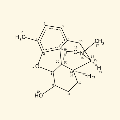 Cc1ccc2c3c1OC1C(O)CC[C@@H]4[C@H](C2)N(C)CC[C@@]314